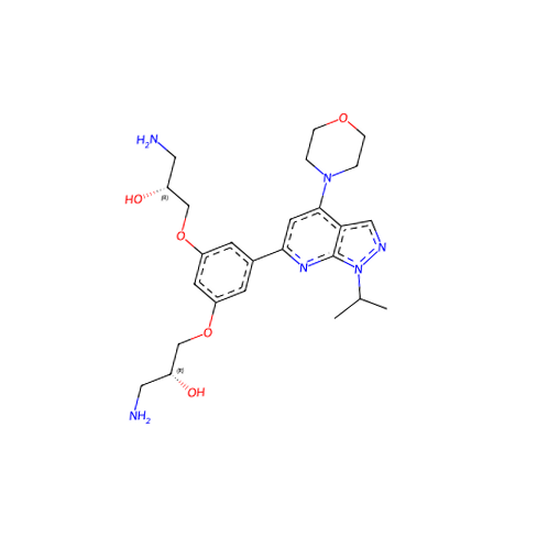 CC(C)n1ncc2c(N3CCOCC3)cc(-c3cc(OC[C@H](O)CN)cc(OC[C@H](O)CN)c3)nc21